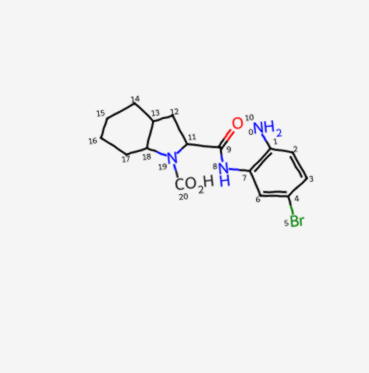 Nc1ccc(Br)cc1NC(=O)C1CC2CCCCC2N1C(=O)O